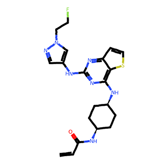 C=CC(=O)N[C@H]1CC[C@@H](Nc2nc(Nc3cnn(CCF)c3)nc3ccsc23)CC1